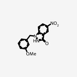 COc1cccc(Cn2[nH]c(=O)c3cc([N+](=O)[O-])ccc32)c1